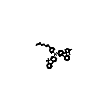 C/C=C\CC/C=C/c1ccc(N(c2ccc3c(c2)-c2ccccc2C32CCC(C)=C2C)c2ccc3c(c2)C(C)(C)c2ccccc2-3)cc1